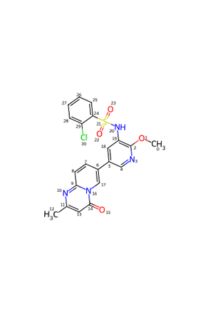 COc1ncc(-c2ccc3nc(C)cc(=O)n3c2)cc1NS(=O)(=O)c1ccccc1Cl